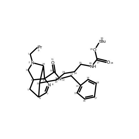 CC(C)CN1CC2CC3C=NC2(C(=O)NCc2ccccc2)C1C3CCCCNC(=O)OC(C)(C)C